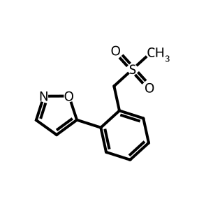 CS(=O)(=O)Cc1ccccc1-c1ccno1